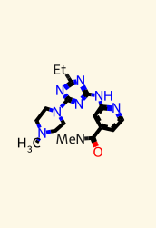 CCc1nc(Nc2cc(C(=O)NC)ccn2)nc(N2CCN(C)CC2)n1